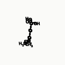 C[N+](C)(C)CCOc1ccc(C#Cc2ccc(C#Cc3cc(CO)c(CO)c(CO)c3)cc2)cc1